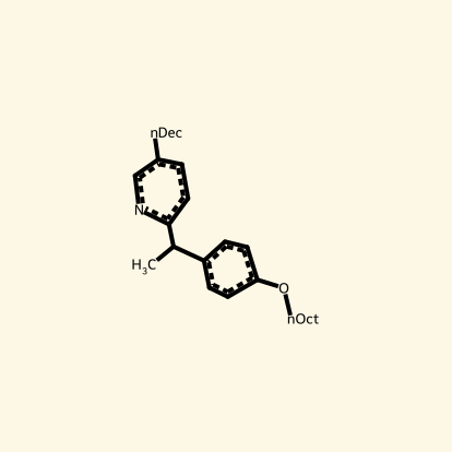 CCCCCCCCCCc1ccc(C(C)c2ccc(OCCCCCCCC)cc2)nc1